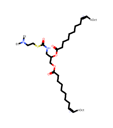 CCCCCCCC/C=C\CCCCCCCC(=O)OCC(CNC(=O)SCCN(CC)CC)OC(=O)CCCCCCC/C=C\CCCCCCCC